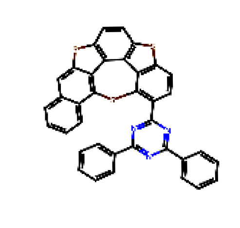 c1ccc(-c2nc(-c3ccccc3)nc(-c3ccc4sc5ccc6sc7cc8ccccc8c8sc3c4c5c6c78)n2)cc1